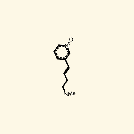 CNCCC=Cc1ccc[n+]([O-])c1